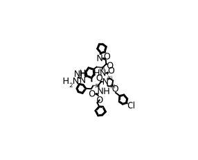 Cc1cc(C[C@H](NC(=O)[C@@H]2C[C@@H](OCc3ccc(Cl)cc3)CN2C(=O)[C@@H](CCc2ccccc2)NC(=O)OCc2ccccc2)C(=O)c2nc3ccccc3o2)ccc1NC(=N)N